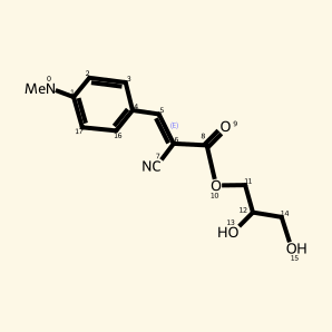 CNc1ccc(/C=C(\C#N)C(=O)OCC(O)CO)cc1